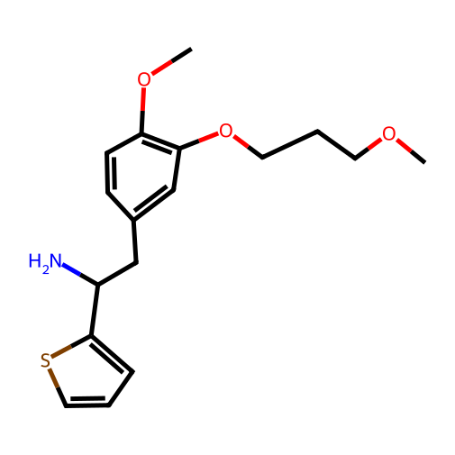 COCCCOc1cc(CC(N)c2cccs2)ccc1OC